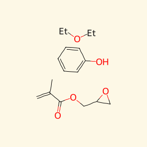 C=C(C)C(=O)OCC1CO1.CCOCC.Oc1ccccc1